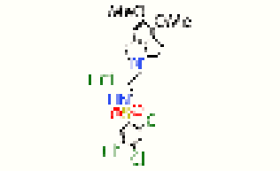 COc1cc2c3c(c1OC)CCC3N(CCCNS(=O)(=O)c1cc(Cl)c(Cl)cc1Cl)CC2.Cl